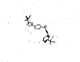 CC(C)(C)c1nsc(N2CCN(C(=O)C#Cc3cccc(C(F)(F)F)c3)CC2)n1